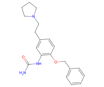 NC(=O)Nc1cc(CCN2CCCC2)ccc1OCc1ccccc1